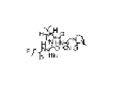 CN1CCN(C[C@@H](C#N)NC(=O)[C@@H]2[C@@H]3[C@H](CN2C(=O)[C@@H](NC(=O)C(F)(F)F)C(C)(C)C)C3(C)C)C1=O